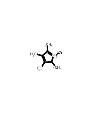 CC1=C(C)C(C)[PH]([Zr])=C1C